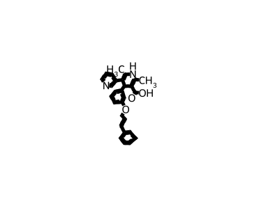 CC1=C(C(=O)O)C(c2cccc(OCC=Cc3ccccc3)c2)C(c2cccnc2)=C(C)N1